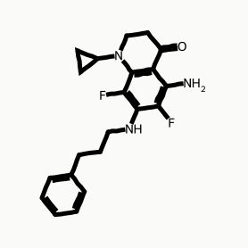 Nc1c(F)c(NCCCc2ccccc2)c(F)c2c1C(=O)CCN2C1CC1